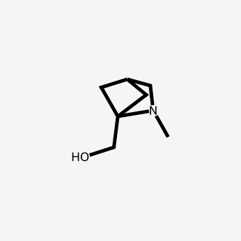 CN1CC2CC1(CO)C2